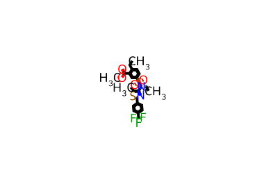 CCc1ccc(S(=O)(=O)N(CC)c2nc(-c3ccc(C(F)(F)F)cc3)sc2C)cc1C(=O)OC